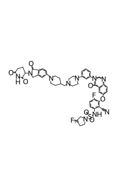 N#Cc1c(NS(=O)(=O)N2CC[C@@H](F)C2)ccc(F)c1Oc1ccc2ncn(-c3cccc(N4CCN(CC5CCN(c6ccc7c(c6)CN(C6CCC(=O)NC6=O)C7=O)CC5)CC4)c3)c(=O)c2c1